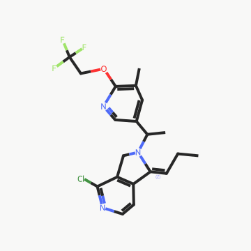 CC/C=C1/c2ccnc(Cl)c2CN1C(C)c1cnc(OCC(F)(F)F)c(C)c1